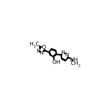 CNc1ccc(-c2ccc(-c3nnc(C)o3)cc2O)nn1